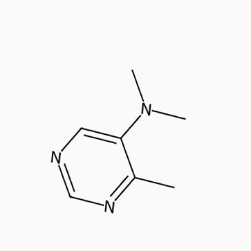 Cc1ncncc1N(C)C